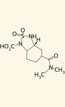 CN(C)C(=O)C1CCC2[C@@H](C1)NS(=O)(=O)N2C(=O)O